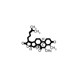 CC(=O)O[C@@H]1C(=O)[C@@]2(C)[C@@H](CCC3C4=C(CCC=C(C)C)C(=O)O[C@H]4C[C@@]32C)[C@@]2(C)CCC(=O)[C@@H](C)C12